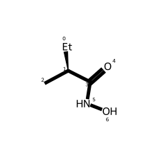 CC[C@H](C)C(=O)NO